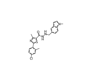 Cc1cc(Cl)ccc1-c1nc(C)c(C(=O)NNCc2ccc3c(ccn3C)c2)s1